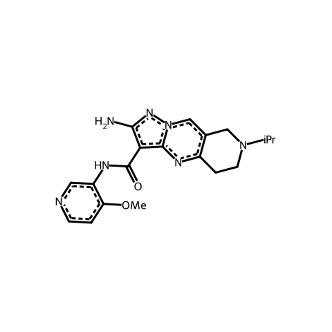 COc1ccncc1NC(=O)c1c(N)nn2cc3c(nc12)CCN(C(C)C)C3